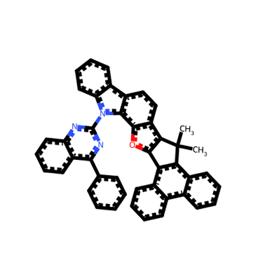 CC1(C)c2c(c3ccccc3c3ccccc23)-c2oc3c(ccc4c5ccccc5n(-c5nc(-c6ccccc6)c6ccccc6n5)c43)c21